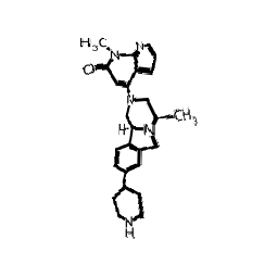 C[C@@H]1CN(c2cc(=O)n(C)c3ncccc23)C[C@@H]2c3ccc(C4CCNCC4)cc3CN12